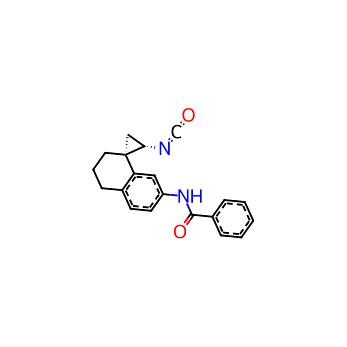 O=C=N[C@H]1C[C@]12CCCc1ccc(NC(=O)c3ccccc3)cc12